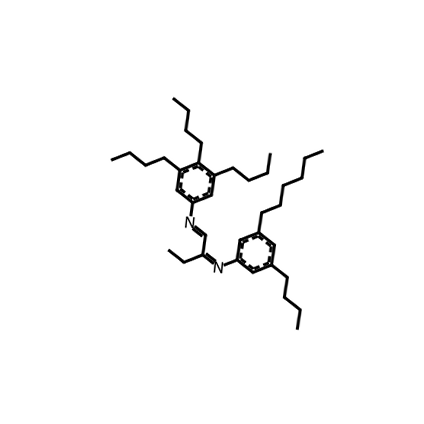 CCCCCCc1cc(CCCC)cc(N=C(C=Nc2cc(CCCC)c(CCCC)c(CCCC)c2)CC)c1